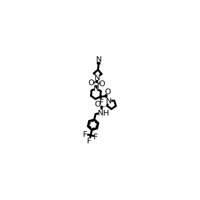 N#CC1CN(S(=O)(=O)N2CCCC(F)(C(=O)N3CCC[C@@H]3C(=O)NCc3ccc(C(F)(F)F)cc3)C2)C1